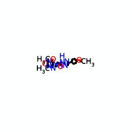 CCOc1ccc(-c2c[nH]c(NC(=O)Cn3cnc4c3c(=O)n(C)c(=O)n4C)n2)cc1